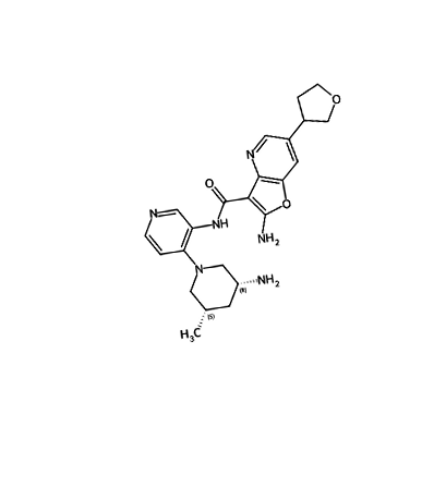 C[C@H]1C[C@@H](N)CN(c2ccncc2NC(=O)c2c(N)oc3cc(C4CCOC4)cnc23)C1